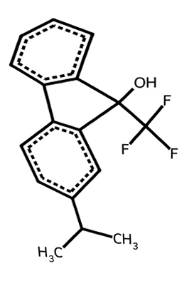 CC(C)c1ccc2c(c1)C(O)(C(F)(F)F)c1ccccc1-2